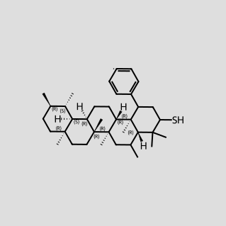 CC1C[C@]2(C)[C@H](CC[C@@H]3[C@@H]4[C@@H](C)[C@H](C)CC[C@]4(C)CC[C@]32C)[C@@]2(C)C(c3cc[c]cc3)CC(S)C(C)(C)[C@H]12